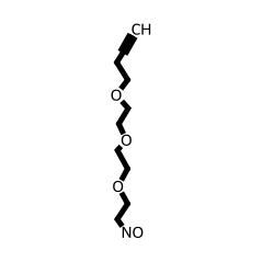 C#CCCOCCOCCOCCN=O